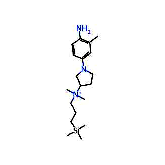 Cc1cc(N2CCC([N+](C)(C)CCC[Si](C)(C)C)C2)ccc1N